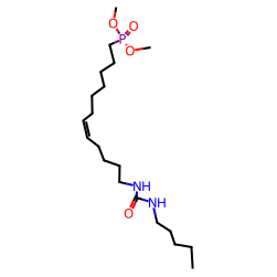 CCCCCNC(=O)NCCCC/C=C\CCCCCCP(=O)(OC)OC